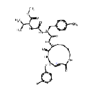 COC(=O)C(NC(=O)N[C@@H](Cc1ccc(C)cc1)C(=O)N[C@H]1CCCCNC(=O)/C=C/[C@H](Cc2cccc(F)c2)NC1=O)C(C)C